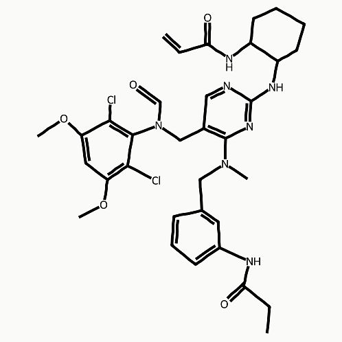 C=CC(=O)NC1CCCCC1Nc1ncc(CN(C=O)c2c(Cl)c(OC)cc(OC)c2Cl)c(N(C)Cc2cccc(NC(=O)CC)c2)n1